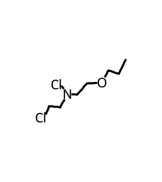 CCCOCCN(Cl)CCCl